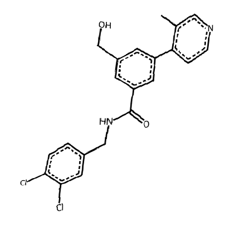 Cc1cnccc1-c1cc(CO)cc(C(=O)NCc2ccc(Cl)c(Cl)c2)c1